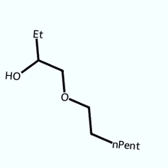 CCCCCCCOCC(O)CC